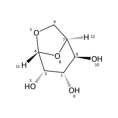 O[C@@H]1[C@H](O)[C@@H]2OC[C@H](O2)[C@H]1O